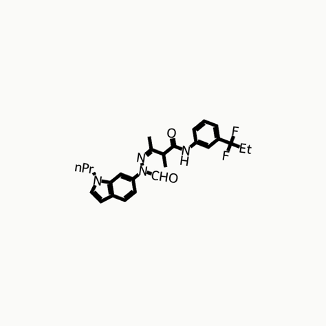 CCCn1ccc2ccc(N(C=O)/N=C(/C)C(C)C(=O)Nc3cccc(C(F)(F)CC)c3)cc21